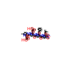 Cc1ccc(NC(=O)c2ccc(NC(=O)c3ccc(NC(=O)c4ccc([N+](=O)[O-])c(OCC(C)C)n4)c(OCc4ccccc4)n3)c(OCC(=O)O)n2)c(OCC(=O)O)n1